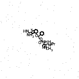 CC(C)NCc1c(NC(=O)OCC(Oc2cccc3sc(C(=N)N)cc23)c2ccccc2)cnn1C